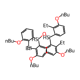 CCCCOc1cccc([SiH](O[SiH](c2cccc(OCCCC)c2CC)c2cccc(OCCCC)c2CC)c2cccc(OCCCC)c2CC)c1CC